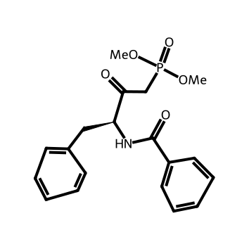 COP(=O)(CC(=O)[C@H](Cc1ccccc1)NC(=O)c1ccccc1)OC